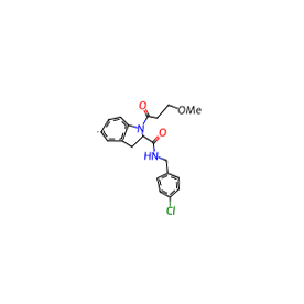 COCCC(=O)N1c2cc[c]cc2CC1C(=O)NCc1ccc(Cl)cc1